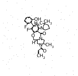 C=CC(=O)N1C[C@@H]2COc3c(F)c(-c4c(O)cccc4F)nc(N4CCCC4(C)C)c3C(=O)N2CC1C